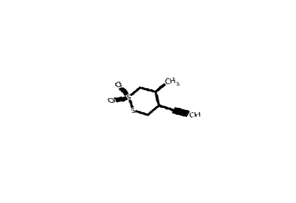 C#CC1CSS(=O)(=O)CC1C